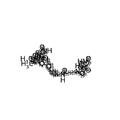 C[C@@H]1CN(c2ccc(-c3cc(CN4CCN(CCNC(=O)CCCCCNc5cccc6c5C(=O)N(C5CCC(=O)NC5=O)C6=O)CC4)ccc3F)cc2NC(=O)c2c[nH]c(=O)cc2C(F)(F)F)C[C@H](C)N1C